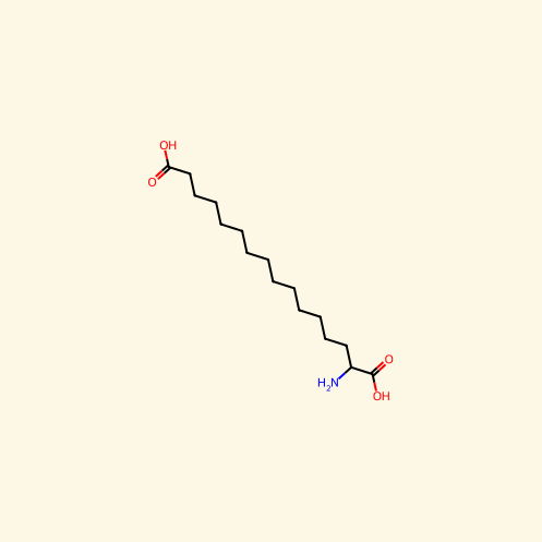 NC(CCCCCCCCCCCCCC(=O)O)C(=O)O